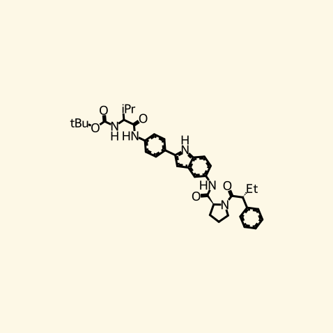 CC[C@@H](C(=O)N1CCC[C@H]1C(=O)Nc1ccc2[nH]c(-c3ccc(NC(=O)C(NC(=O)OC(C)(C)C)C(C)C)cc3)cc2c1)c1ccccc1